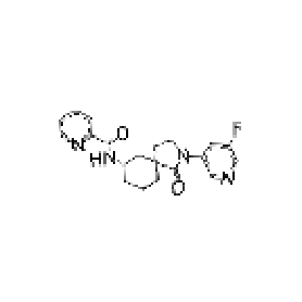 O=C(N[C@H]1CCC[C@]2(CCN(c3cncc(F)c3)C2=O)C1)c1ccccn1